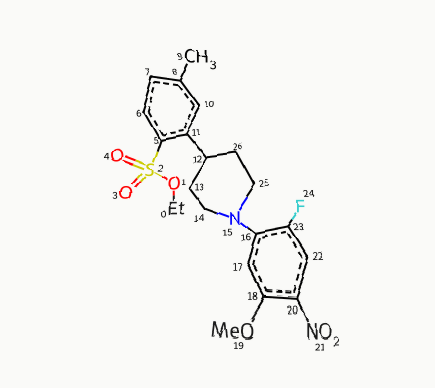 CCOS(=O)(=O)c1ccc(C)cc1C1CCN(c2cc(OC)c([N+](=O)[O-])cc2F)CC1